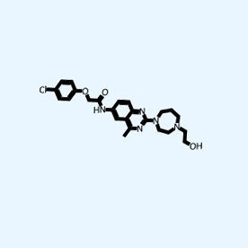 Cc1nc(N2CCCN(CCO)CC2)nc2ccc(NC(=O)COc3ccc(Cl)cc3)cc12